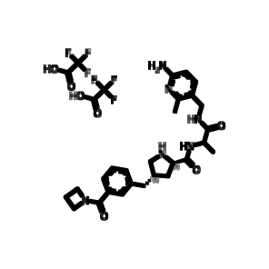 Cc1nc(N)ccc1CNC(=O)C(C)NC(=O)[C@H]1C[C@H](Cc2cccc(C(=O)N3CCC3)c2)CN1.O=C(O)C(F)(F)F.O=C(O)C(F)(F)F